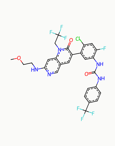 COCCNc1cc2c(cn1)cc(-c1cc(NC(=O)Nc3ccc(C(F)(F)F)cc3)c(F)cc1Cl)c(=O)n2CC(F)(F)F